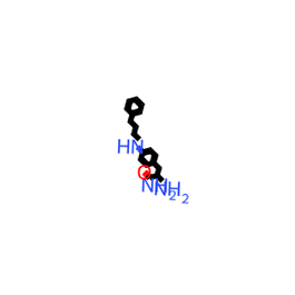 NCC(Cc1ccc(NCCCCc2ccccc2)cc1)C(N)=O